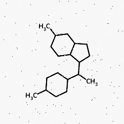 CC1CCC(C(C)C2CCC3CC(C)CCC32)CC1